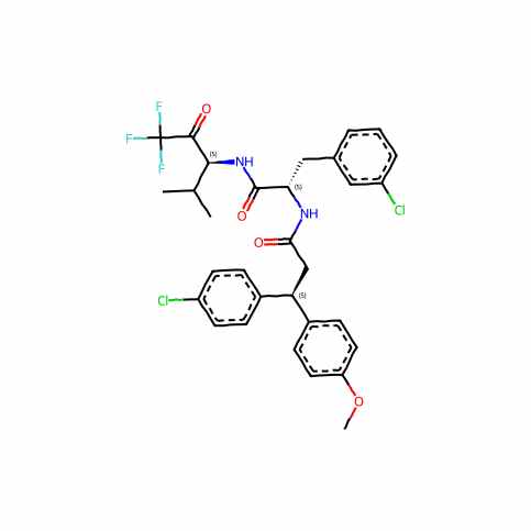 COc1ccc([C@H](CC(=O)N[C@@H](Cc2cccc(Cl)c2)C(=O)N[C@H](C(=O)C(F)(F)F)C(C)C)c2ccc(Cl)cc2)cc1